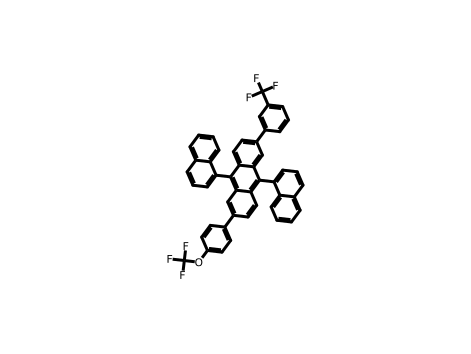 FC(F)(F)Oc1ccc(-c2ccc3c(-c4cccc5ccccc45)c4cc(-c5cccc(C(F)(F)F)c5)ccc4c(-c4cccc5ccccc45)c3c2)cc1